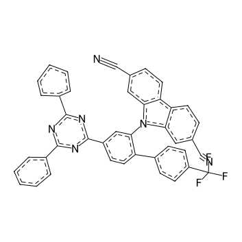 N#Cc1ccc2c3ccc(C#N)cc3n(-c3cc(-c4nc(-c5ccccc5)nc(-c5ccccc5)n4)ccc3-c3ccc(C(F)(F)F)cc3)c2c1